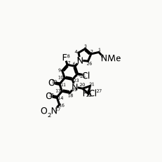 CNCC1=CCN(c2c(F)cc3c(=O)c(C(=O)C[N+](=O)[O-])cn(C4CC4)c3c2Cl)C1.Cl